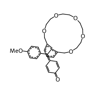 COc1ccc(C(=C2C=CC(=O)C=C2)c2c3cccc2COCCOCCOCCOCCOC3)cc1